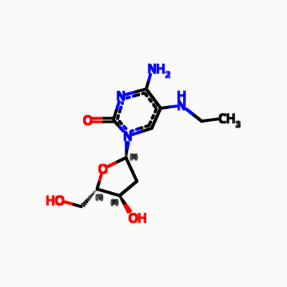 CCNc1cn([C@H]2C[C@@H](O)[C@H](CO)O2)c(=O)nc1N